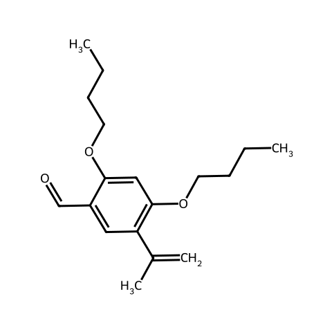 C=C(C)c1cc(C=O)c(OCCCC)cc1OCCCC